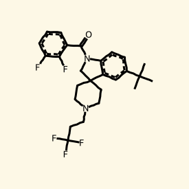 CC(C)(C)c1ccc2c(c1)C1(CCN(CCC(F)(F)F)CC1)CN2C(=O)c1cccc(F)c1F